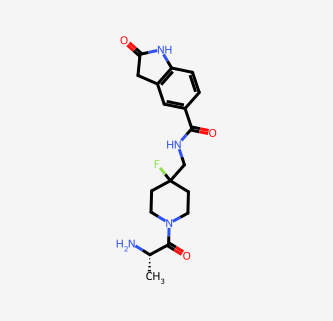 C[C@H](N)C(=O)N1CCC(F)(CNC(=O)c2ccc3c(c2)CC(=O)N3)CC1